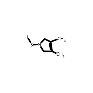 CC1=C(C)CN(SI)C1